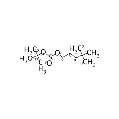 CC(C)(C)CCCOS(=O)OC(C)(C)C